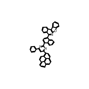 c1ccc(-c2cc(-c3ccc4ccc5cccc6ccc3c4c56)nc(-c3ccc(-c4nc5oc6ccccc6c5c5ccccc45)c4ccccc34)n2)cc1